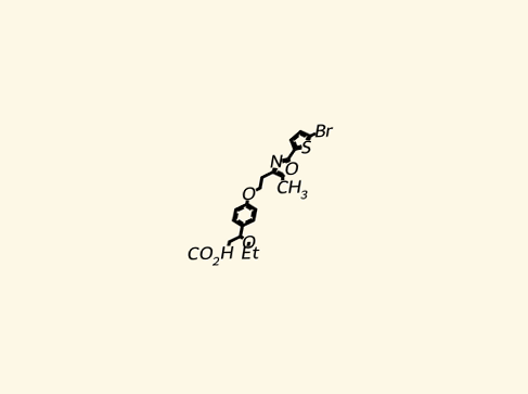 CCOC(CC(=O)O)c1ccc(OCCc2nc(-c3ccc(Br)s3)oc2C)cc1